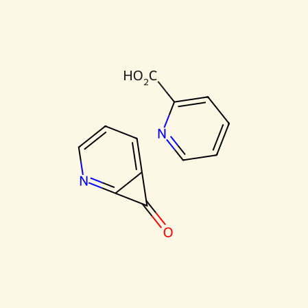 O=C(O)c1ccccn1.O=c1c2cccnc12